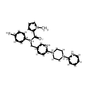 Cn1cccc1C(=O)N(Cc1ccc(N2CCN(c3ccccn3)CC2)nc1)c1ccc(F)cc1